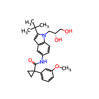 COc1cccc(C2(C(=O)Nc3ccc4c(c3)cc(C(C)(C)C)n4C[C@@H](O)CO)CC2)c1